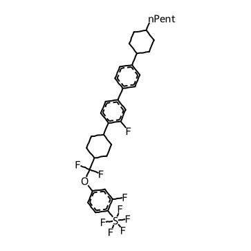 CCCCCC1CCC(c2ccc(-c3ccc(C4CCC(C(F)(F)Oc5ccc(S(F)(F)(F)(F)F)c(F)c5)CC4)c(F)c3)cc2)CC1